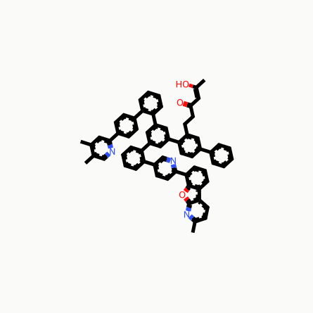 C/C(O)=C/C(=O)CCc1cc(-c2ccccc2)ccc1-c1cc(-c2ccccc2-c2ccc(-c3cc(C)c(C)cn3)cc2)cc(-c2ccccc2-c2ccc(-c3cccc4c3oc3nc(C)ccc34)nc2)c1